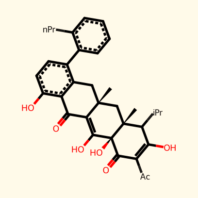 CCCc1ccccc1-c1ccc(O)c2c1C[C@]1(C)C[C@]3(C)C(C(C)C)C(O)=C(C(C)=O)C(=O)[C@]3(O)C(O)=C1C2=O